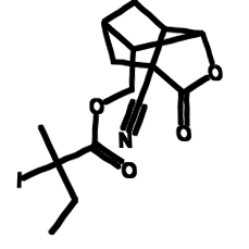 CCC(C)(I)C(=O)OCC1C2CC3C1OC(=O)C3(C#N)C2